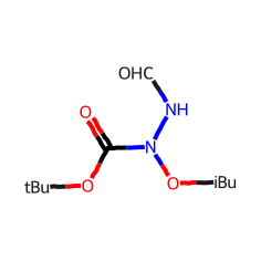 CCC(C)ON(NC=O)C(=O)OC(C)(C)C